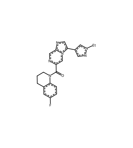 CCn1cc(-c2cnc3cnc(C(=O)N4CCCc5cc(F)ccc54)cn23)cn1